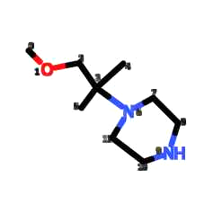 COCC(C)(C)N1CCNCC1